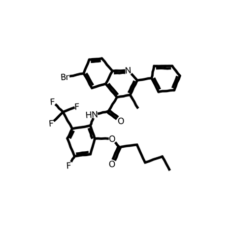 CCCCC(=O)Oc1cc(F)cc(C(F)(F)F)c1NC(=O)c1c(C)c(-c2ccccc2)nc2ccc(Br)cc12